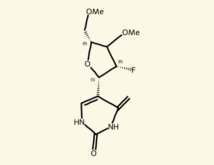 C=C1NC(=O)NC=C1[C@@H]1O[C@H](COC)C(OC)[C@@H]1F